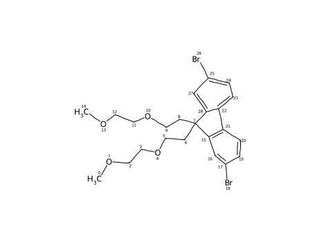 COCCOCCC1(CCOCCOC)c2cc(Br)ccc2-c2ccc(Br)cc21